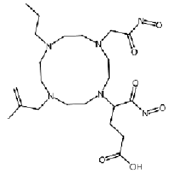 C=C(C)CN1CCN(CCC)CCN(CC(=O)N=O)CCN(C(CCC(=O)O)C(=O)N=O)CC1